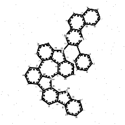 c1ccc(-c2nc3c(ccc4ccccc43)nc2-n2c3cccc4c5cccc6c7ccc8c9ccccc9sc8c7n(c7cccc2c7c43)c56)cc1